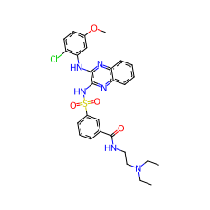 CCN(CC)CCNC(=O)c1cccc(S(=O)(=O)Nc2nc3ccccc3nc2Nc2cc(OC)ccc2Cl)c1